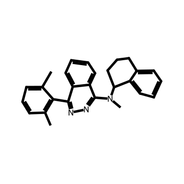 Cc1cccc(C)c1-c1nnc(N(C)C2CCCc3ccccc32)c2ccccc12